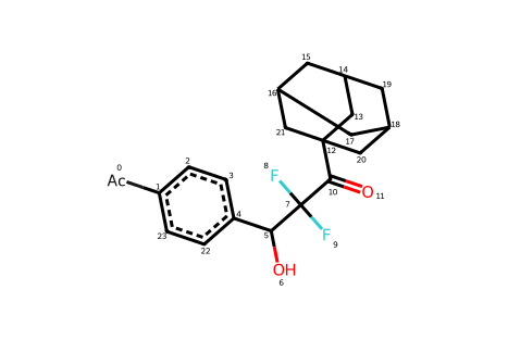 CC(=O)c1ccc(C(O)C(F)(F)C(=O)C23CC4CC(CC(C4)C2)C3)cc1